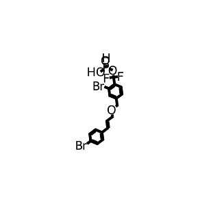 O=[PH](O)OC(F)(F)c1ccc(COC/C=C/c2ccc(Br)cc2)cc1Br